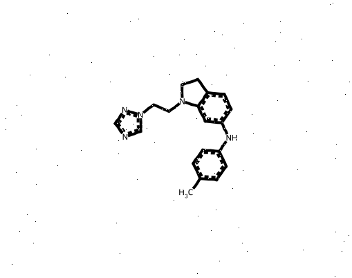 Cc1ccc(Nc2ccc3c(c2)N(CCn2cncn2)CC3)cc1